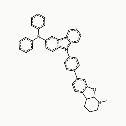 CN1CCCC2c3ccc(-c4ccc(-n5c6ccccc6c6cc(N(c7ccccc7)c7ccccc7)ccc65)cc4)cc3OC21